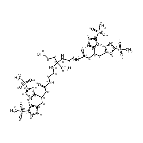 CS(=O)(=O)c1nnc(CC(CC(=O)NCCNC(CCC=O)(NCCNC(=O)CC(Cc2nnc(S(C)(=O)=O)o2)c2nnc(S(C)(=O)=O)o2)C(=O)O)c2nnc(S(C)(=O)=O)o2)o1